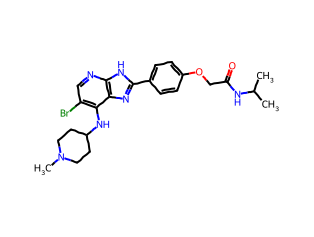 CC(C)NC(=O)COc1ccc(-c2nc3c(NC4CCN(C)CC4)c(Br)cnc3[nH]2)cc1